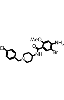 COc1cc(N)c(Br)cc1C(=O)NC1CCN(Cc2ccc(Cl)cc2)CC1